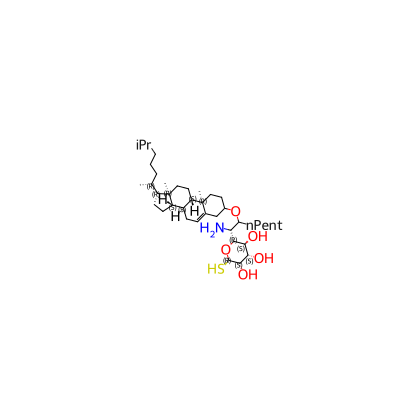 CCCCCC(OC1CC[C@@]2(C)C(=CC[C@H]3[C@@H]4CC[C@H]([C@H](C)CCCC(C)C)[C@@]4(C)CC[C@@H]32)C1)C(N)[C@H]1O[C@H](S)[C@@H](O)[C@@H](O)[C@@H]1O